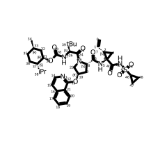 C=C[C@@H]1C[C@]1(NC(=O)[C@@H]1C[C@@H](Oc2nccc3ccccc23)CN1C(=O)[C@@H](NC(=O)O[C@@H]1C[C@H](C)CC[C@H]1C(C)C)C(C)(C)C)C(=O)NS(=O)(=O)C1CC1